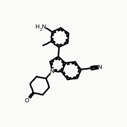 Cc1c(N)cccc1-c1cn(C2CCC(=O)CC2)c2ccc(C#N)cc12